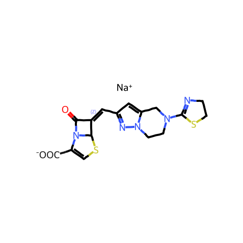 O=C([O-])C1=CSC2/C(=C\c3cc4n(n3)CCN(C3=NCCS3)C4)C(=O)N12.[Na+]